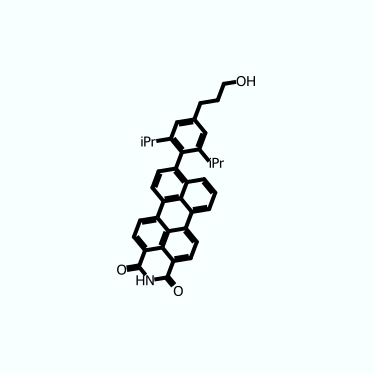 CC(C)c1cc(CCCO)cc(C(C)C)c1-c1ccc2c3ccc4c5c(ccc(c6cccc1c62)c53)C(=O)NC4=O